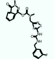 CN(Cc1nsc(NC(=O)NCc2cccc(F)c2)n1)C(=O)Oc1nn(C)c(=O)c2ccccc12